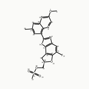 COc1cnc2c(-c3nc4cc(F)c5c(c4s3)C[C@H](COS(C)(=O)=O)O5)cc(C)cc2n1